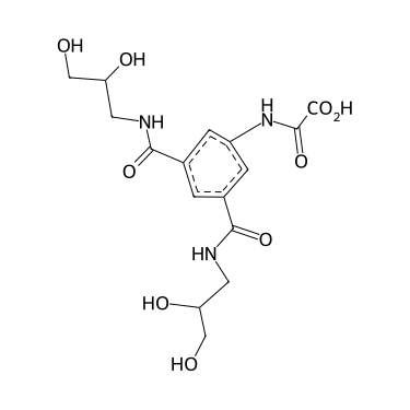 O=C(O)C(=O)Nc1cc(C(=O)NCC(O)CO)cc(C(=O)NCC(O)CO)c1